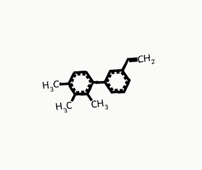 C=Cc1cccc(-c2ccc(C)c(C)c2C)c1